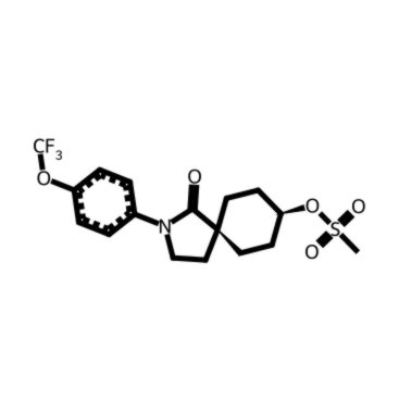 CS(=O)(=O)O[C@H]1CC[C@]2(CCN(c3ccc(OC(F)(F)F)cc3)C2=O)CC1